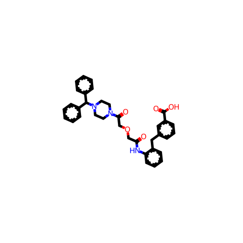 O=C(COCC(=O)N1CCN(C(c2ccccc2)c2ccccc2)CC1)Nc1ccccc1Cc1cccc(C(=O)O)c1